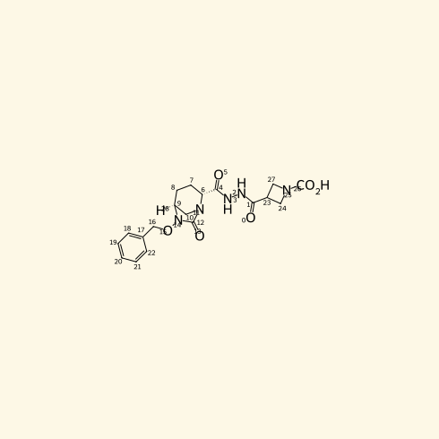 O=C(NNC(=O)[C@H]1CC[C@H]2CN1C(=O)N2OCc1ccccc1)C1CN(C(=O)O)C1